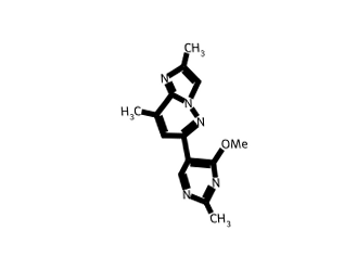 COc1nc(C)ncc1-c1cc(C)c2nc(C)cn2n1